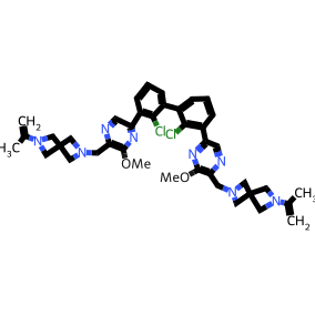 C=C(C)N1CC2(CN(Cc3ncc(-c4cccc(-c5cccc(-c6cnc(CN7CC8(C7)CN(C(=C)C)C8)c(OC)n6)c5Cl)c4Cl)nc3OC)C2)C1